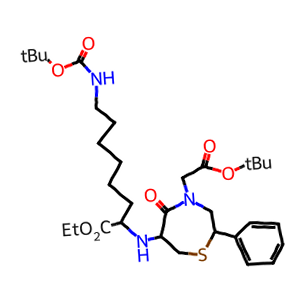 CCOC(=O)C(CCCCCCNC(=O)OC(C)(C)C)NC1CSC(c2ccccc2)CN(CC(=O)OC(C)(C)C)C1=O